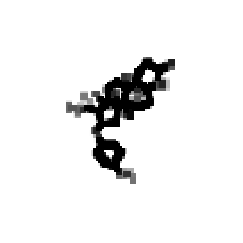 Cc1ccc(OC2C[C@H]3[C@@H]4CCC5NC(=O)CC[C@]5(C)[C@@H]4CC[C@]3(C)C2C)cc1